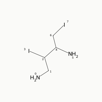 NCC(I)C(N)CI